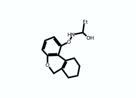 CCC(O)NOc1cccc2c1C1=C(CCCC1)CO2